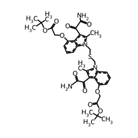 Cc1c(C(=O)C(N)=O)c2c(OCC(=O)OC(C)(C)C)cccc2n1CSCn1c(C)c(C(=O)C(N)=O)c2c(OCC(=O)OC(C)(C)C)cccc21